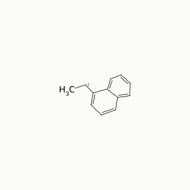 C[C]c1cccc2ccccc12